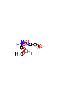 COC[C@@H](C)Oc1cccc(Nc2nnc(C(=O)Nc3ccc([C@H]4CC[C@H](CC(=O)O)CC4)cc3)o2)c1